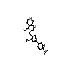 CN(C)c1ccc(-c2ccc(Cn3cnc4cnccc4c3=O)c(F)c2)cn1